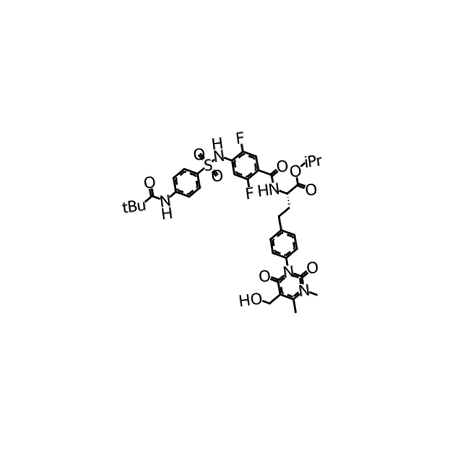 Cc1c(CO)c(=O)n(-c2ccc(CC[C@H](NC(=O)c3cc(F)c(NS(=O)(=O)c4ccc(NC(=O)C(C)(C)C)cc4)cc3F)C(=O)OC(C)C)cc2)c(=O)n1C